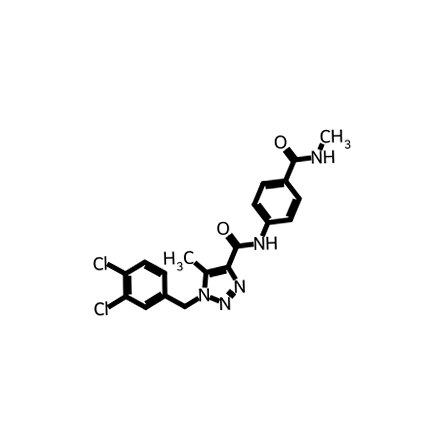 CNC(=O)c1ccc(NC(=O)c2nnn(Cc3ccc(Cl)c(Cl)c3)c2C)cc1